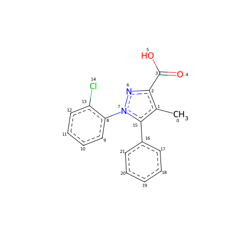 Cc1c(C(=O)O)nn(-c2ccccc2Cl)c1-c1ccccc1